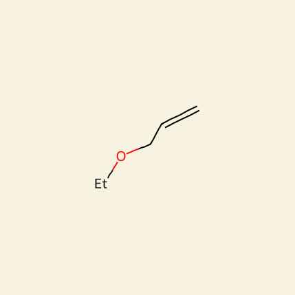 [CH2]COCC=C